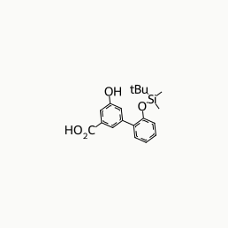 CC(C)(C)[Si](C)(C)Oc1ccccc1-c1cc(O)cc(C(=O)O)c1